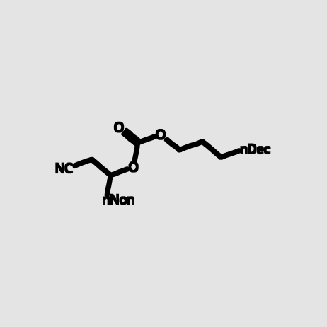 CCCCCCCCCCCCCOC(=O)OC(CC#N)CCCCCCCCC